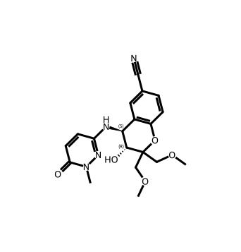 COCC1(COC)Oc2ccc(C#N)cc2[C@H](Nc2ccc(=O)n(C)n2)[C@H]1O